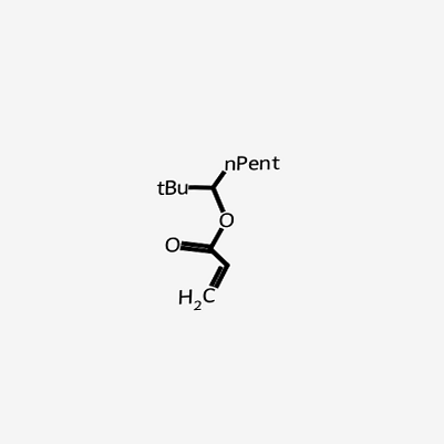 C=CC(=O)OC(CCCCC)C(C)(C)C